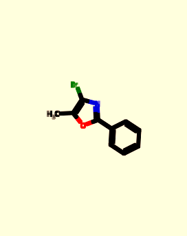 Cc1oc(-c2ccccc2)nc1Br